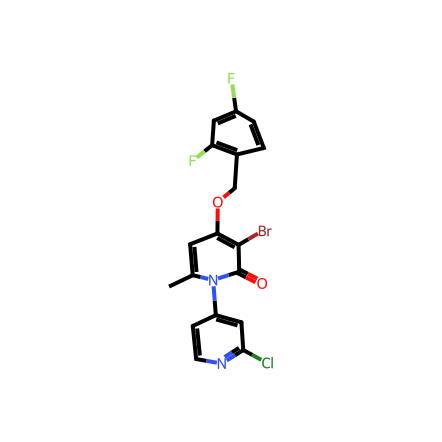 Cc1cc(OCc2ccc(F)cc2F)c(Br)c(=O)n1-c1ccnc(Cl)c1